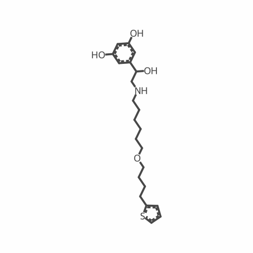 Oc1cc(O)cc(C(O)CNCCCCCCOCCCCc2cccs2)c1